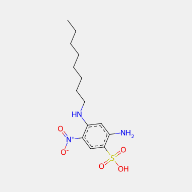 CCCCCCCCNc1cc(N)c(S(=O)(=O)O)cc1[N+](=O)[O-]